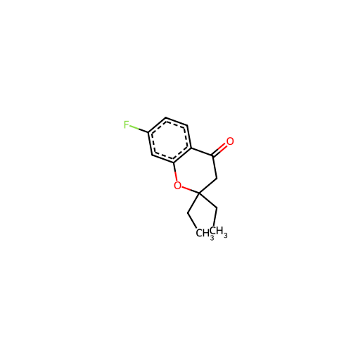 CCC1(CC)CC(=O)c2ccc(F)cc2O1